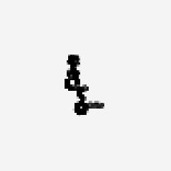 COc1ccccc1CCC(=O)N1CCCn2nc(-c3cccs3)cc2C1